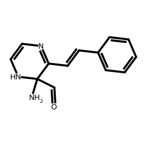 NC1(C=O)NC=CN=C1C=Cc1ccccc1